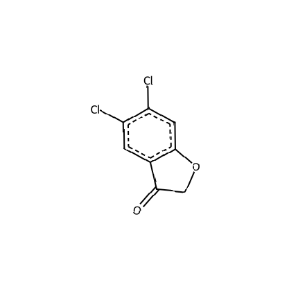 O=C1COc2cc(Cl)c(Cl)cc21